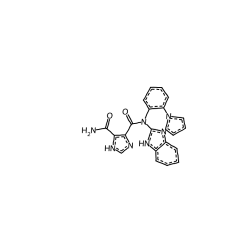 NC(=O)c1[nH]cnc1C(=O)N(c1nc2ccccc2[nH]1)c1ccccc1-n1cccc1